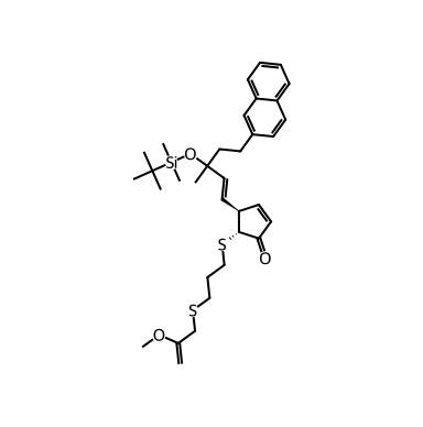 C=C(CSCCCS[C@H]1C(=O)C=C[C@@H]1/C=C/C(C)(CCc1ccc2ccccc2c1)O[Si](C)(C)C(C)(C)C)OC